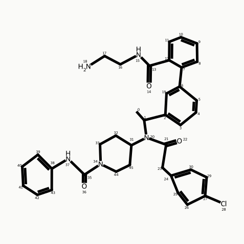 CC(c1cccc(-c2ccccc2C(=O)NCCN)c1)N(C(=O)Cc1ccc(Cl)cc1)C1CCN(C(=O)Nc2ccccc2)CC1